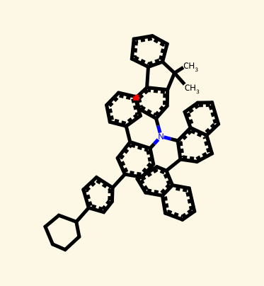 CC1(C)c2ccccc2-c2ccc(N(c3ccc(-c4ccc(C5CCCCC5)cc4)cc3-c3ccccc3)c3c(-c4cccc5ccccc45)ccc4ccccc34)cc21